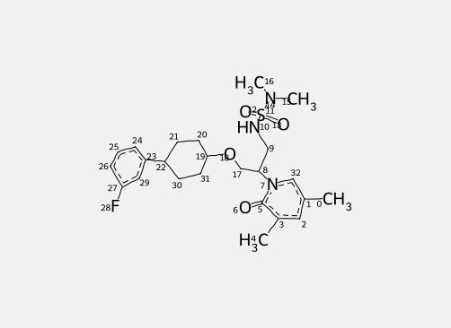 Cc1cc(C)c(=O)n(C(CNS(=O)(=O)N(C)C)COC2CCC(c3cccc(F)c3)CC2)c1